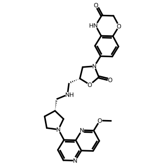 COc1ccc2nccc(N3CC[C@H](CNC[C@@H]4CN(c5ccc6c(c5)NC(=O)CO6)C(=O)O4)C3)c2n1